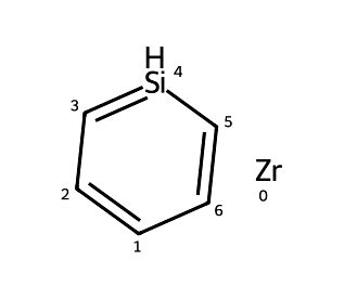 [Zr].c1cc[siH]cc1